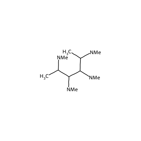 CNC(C)C(NC)C(NC)C(C)NC